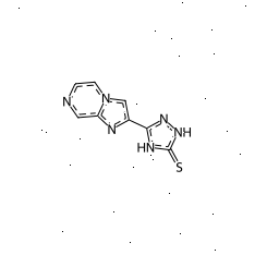 S=c1[nH]nc(-c2cn3ccncc3n2)[nH]1